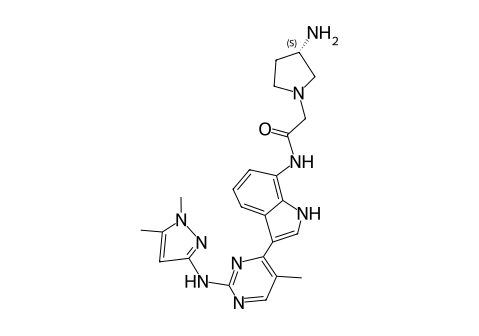 Cc1cnc(Nc2cc(C)n(C)n2)nc1-c1c[nH]c2c(NC(=O)CN3CC[C@H](N)C3)cccc12